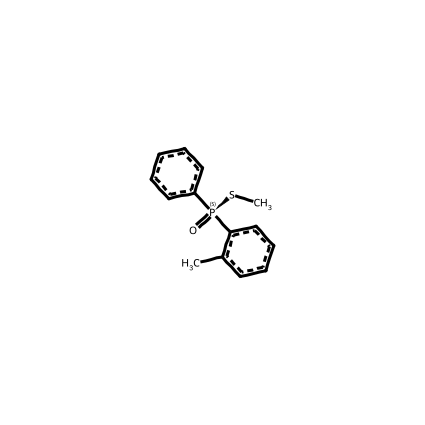 CS[P@@](=O)(c1ccccc1)c1ccccc1C